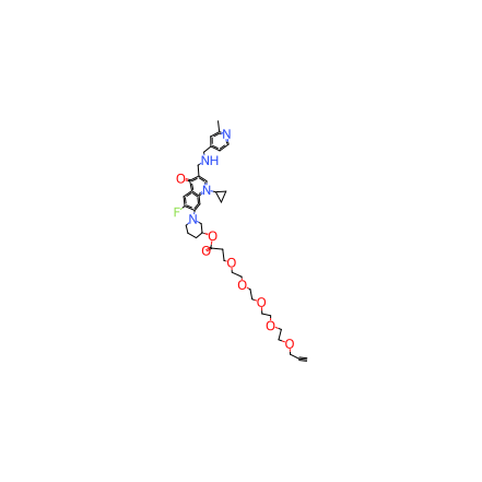 C#CCOCCOCCOCCOCCOCCC(=O)O[C@H]1CCCN(c2cc3c(cc2F)c(=O)c(CNCc2ccnc(C)c2)cn3C2CC2)C1